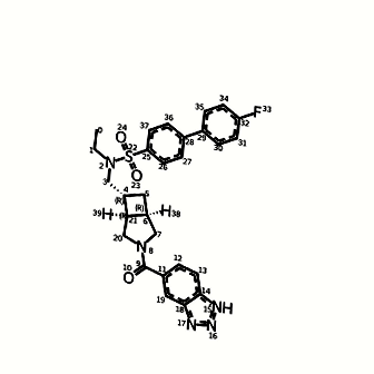 CCN(C[C@@H]1C[C@H]2CN(C(=O)c3ccc4[nH]nnc4c3)C[C@H]21)S(=O)(=O)c1ccc(-c2ccc(F)cc2)cc1